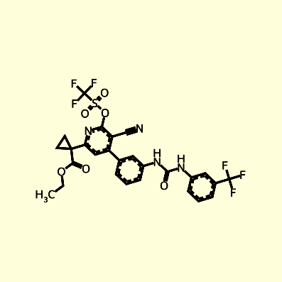 CCOC(=O)C1(c2cc(-c3cccc(NC(=O)Nc4cccc(C(F)(F)F)c4)c3)c(C#N)c(OS(=O)(=O)C(F)(F)F)n2)CC1